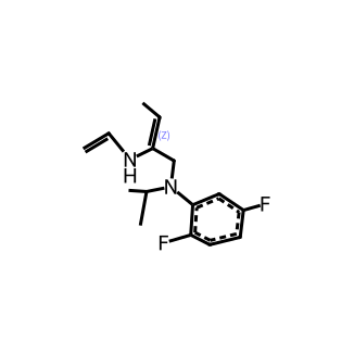 C=CN/C(=C\C)CN(c1cc(F)ccc1F)C(C)C